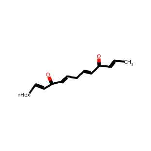 CC=CC(=O)C=CCC=CC(=O)C=CCCCCCC